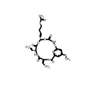 C=C[C@@H]1NC(=O)/C(=C/C)NC(=O)c2cc(SC)cc(n2)CNC(=O)C[C@@H](/C=C/CCSC(C)=O)OC1=O